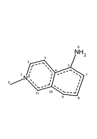 C[n+]1ccc2c(N)cccc2c1